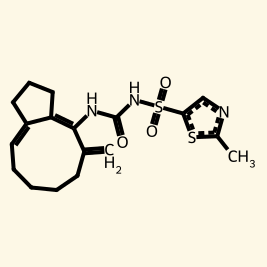 C=C1CCCC/C=C2/CCC/C2=C/1NC(=O)NS(=O)(=O)c1cnc(C)s1